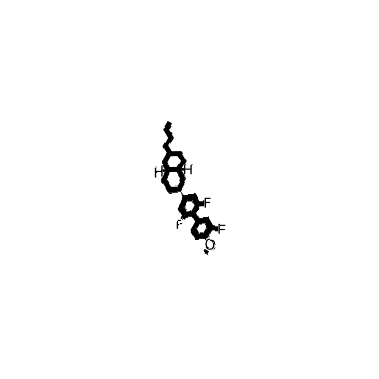 CCCCC1CC[C@@H]2C[C@H](c3cc(F)c(-c4ccc(OC)c(F)c4)c(F)c3)CC[C@@H]2C1